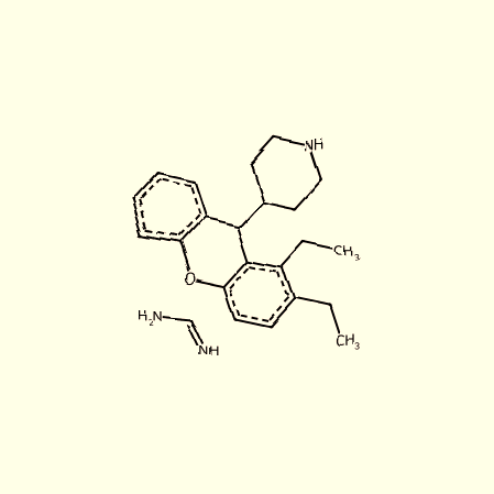 CCc1ccc2c(c1CC)C(C1CCNCC1)c1ccccc1O2.N=CN